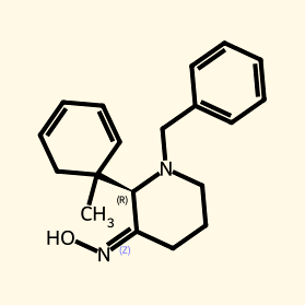 CC1([C@@H]2/C(=N\O)CCCN2Cc2ccccc2)C=CC=CC1